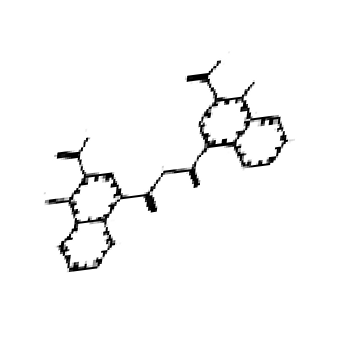 O=C(O)c1cc(C(=O)CC(=O)c2cc(C(=O)O)c(O)c3ccccc23)c2ccccc2c1O